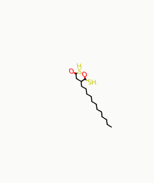 CCCCCCCCCCCCC(CC(=O)S)C(=O)S